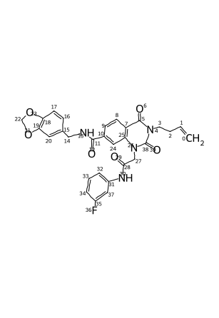 C=CCCn1c(=O)c2ccc(C(=O)NCc3ccc4c(c3)OCO4)cc2n(CC(=O)Nc2cccc(F)c2)c1=O